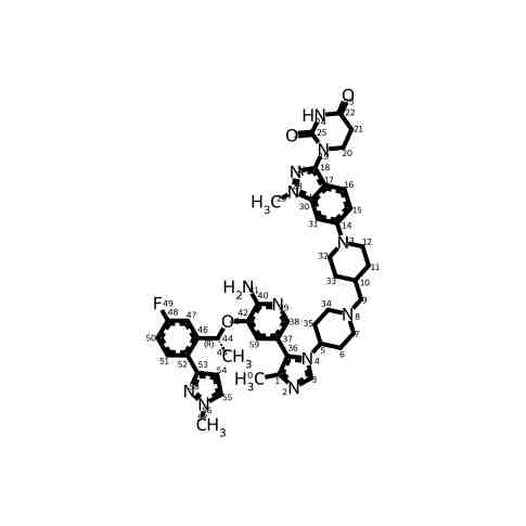 Cc1ncn(C2CCN(CC3CCN(c4ccc5c(N6CCC(=O)NC6=O)nn(C)c5c4)CC3)CC2)c1-c1cnc(N)c(O[C@H](C)c2cc(F)ccc2-c2ccn(C)n2)c1